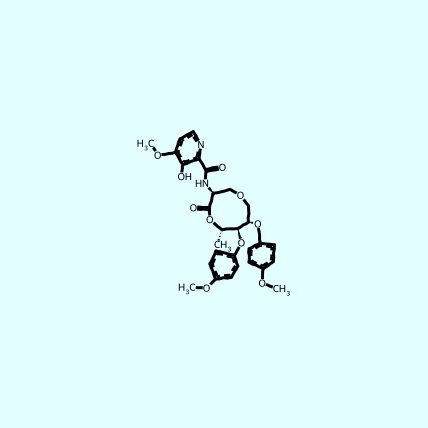 COc1ccc(O[C@H]2[C@H](C)OC(=O)[C@@H](NC(=O)c3nccc(OC)c3O)COC[C@@H]2Oc2ccc(OC)cc2)cc1